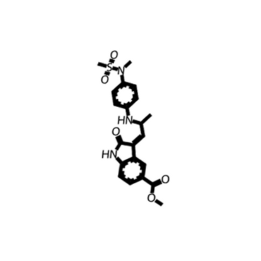 COC(=O)c1ccc2c(c1)C(=CC(C)Nc1ccc(N(C)S(C)(=O)=O)cc1)C(=O)N2